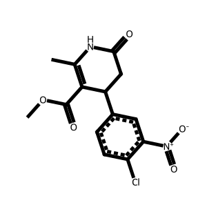 COC(=O)C1=C(C)NC(=O)CC1c1ccc(Cl)c([N+](=O)[O-])c1